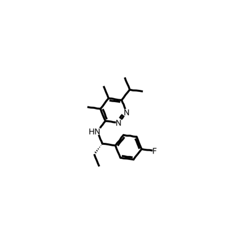 CC[C@H](Nc1nnc(C(C)C)c(C)c1C)c1ccc(F)cc1